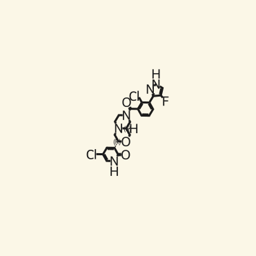 O=C(c1cccc(-c2n[nH]cc2F)c1Cl)N1CCN2C[C@@H](c3cc(Cl)c[nH]c3=O)OC[C@@H]2C1